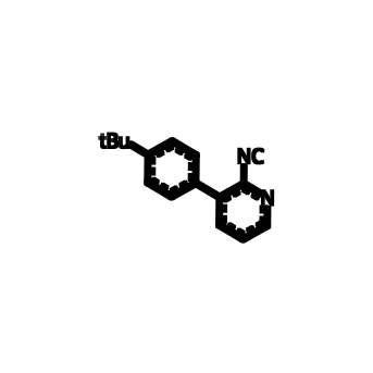 [C-]#[N+]c1ncccc1-c1ccc(C(C)(C)C)cc1